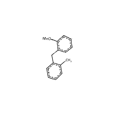 COc1c[c]ccc1Cc1ccccc1C